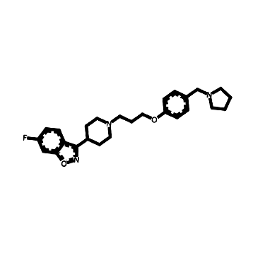 Fc1ccc2c(C3CCN(CCCOc4ccc(CN5CCCC5)cc4)CC3)noc2c1